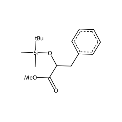 COC(=O)C(Cc1ccccc1)O[Si](C)(C)C(C)(C)C